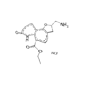 CCOC(=O)c1cc2c(c3ccc(=O)[nH]c13)OC(CN)C2.Cl